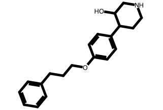 OC1CNCCC1c1ccc(OCCCc2ccccc2)cc1